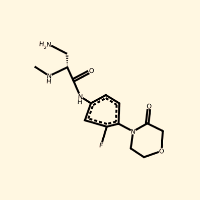 CN[C@H](CN)C(=O)Nc1ccc(N2CCOCC2=O)c(F)c1